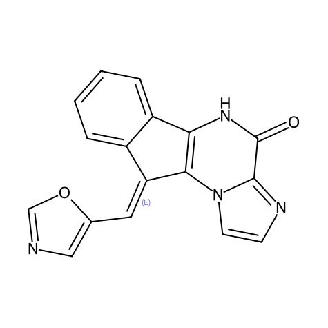 O=c1[nH]c2c3ccccc3/c(=C\c3cnco3)c2n2ccnc12